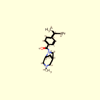 CC(C)C(C)c1ccc(C(=O)N2CC3CC2CN(C)C3)cc1